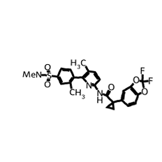 CNS(=O)(=O)c1ccc(-c2nc(NC(=O)C3(c4ccc5c(c4)OC(F)(F)O5)CC3)ccc2C)c(C)c1